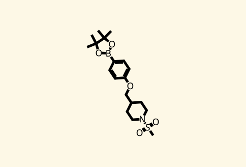 CC1(C)OB(c2ccc(OCC3CCN(S(C)(=O)=O)CC3)cc2)OC1(C)C